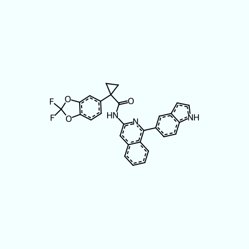 O=C(Nc1cc2ccccc2c(-c2ccc3[nH]ccc3c2)n1)C1(c2ccc3c(c2)OC(F)(F)O3)CC1